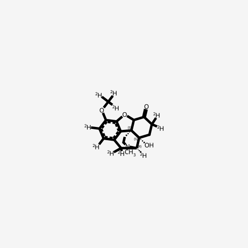 [2H]c1c([2H])c2c3c(c1OC([2H])([2H])[2H])OC1C(=O)C([2H])([2H])C[C@]4(O)[C@@]31CCN(C)[C@]4([2H])C2([2H])[2H]